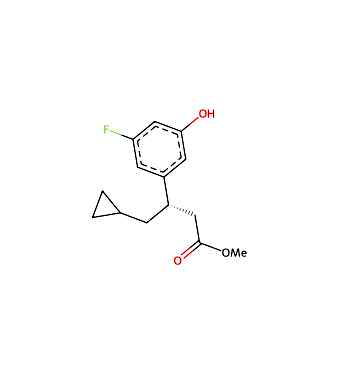 COC(=O)C[C@H](CC1CC1)c1cc(O)cc(F)c1